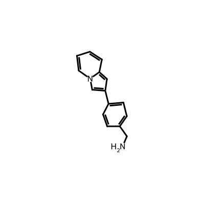 NCc1ccc(-c2cc3ccccn3c2)cc1